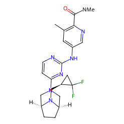 CNC(=O)c1ncc(Nc2nccc(N3C[C@H]4CC[C@@H](C3)N4C[C@H]3CC3(F)F)n2)cc1C